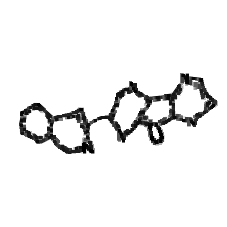 c1ccc2cc(-c3cnc4c(n3)oc3nccnc34)ncc2c1